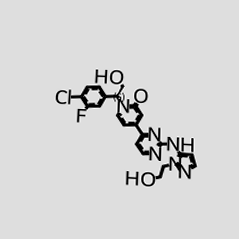 O=c1cc(-c2ccnc(Nc3ccnn3CCO)n2)ccn1[C@H](CO)c1ccc(Cl)c(F)c1